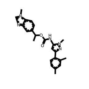 Cc1ccc(-c2cc(NC(=O)OC(C)c3ccc4c(c3)ncn4C)n(C)n2)c(C)c1